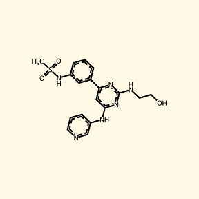 CS(=O)(=O)Nc1cccc(-c2cc(Nc3cccnc3)nc(NCCO)n2)c1